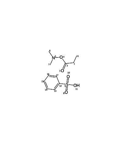 CCC(=O)ON(C)C.O=S(=O)(O)c1ccccc1